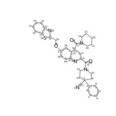 N#CC1(c2ccccc2)CCN(C(=O)c2cc(C(=O)N3CCCCC3)c3cc(OCc4nc5ccccc5s4)ccc3n2)CC1